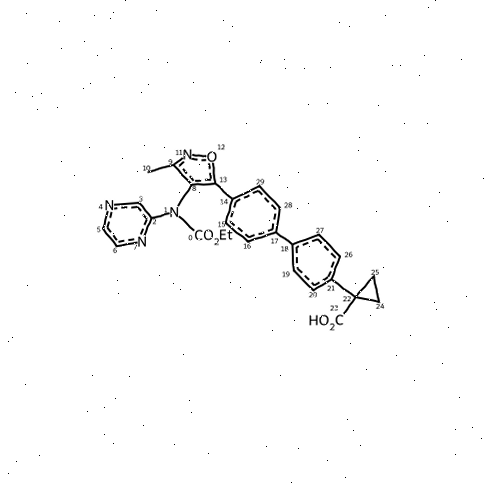 CCOC(=O)N(c1cnccn1)c1c(C)noc1-c1ccc(-c2ccc(C3(C(=O)O)CC3)cc2)cc1